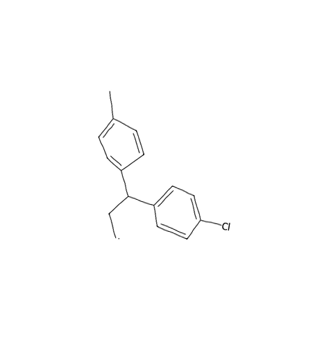 [CH2]CC(c1ccc(C)cc1)c1ccc(Cl)cc1